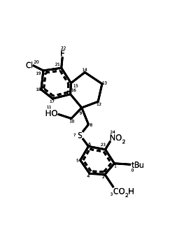 CC(C)(C)c1c(C(=O)O)ccc(SCC2(CO)CCCc3c2ccc(Cl)c3F)c1[N+](=O)[O-]